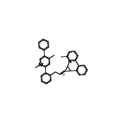 Cc1cc(-c2ccccc2C/C=C2/C3c4ccccc4-c4cccc(C)[n+]4C23)[n+](C)cc1-c1ccccc1